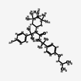 [2H]C([2H])(NC(=O)N(C1CC([2H])([2H])N(C)C([2H])([2H])C1)C([2H])([2H])c1ccc(F)cc1)c1ccc(OCC(C)C)cc1